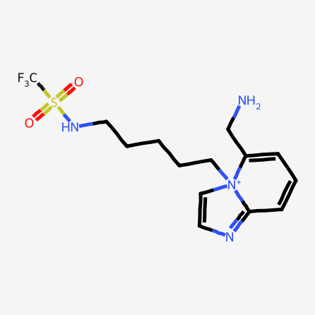 NCC1=CC=CC2=NC=C[N+]12CCCCCNS(=O)(=O)C(F)(F)F